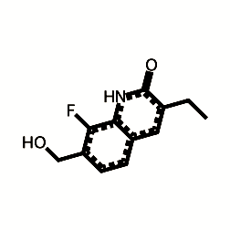 CCc1cc2ccc(CO)c(F)c2[nH]c1=O